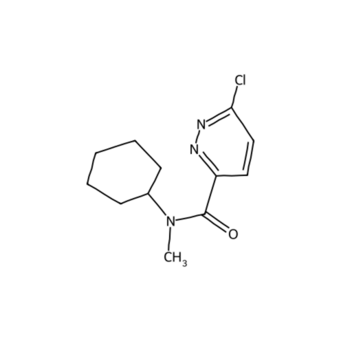 CN(C(=O)c1ccc(Cl)nn1)C1CCCCC1